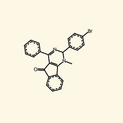 CN1C2=C(C(=O)c3ccccc32)C(c2ccccc2)=NC1c1ccc(Br)cc1